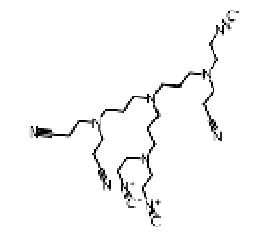 [C-]#[N+]CCN(CCC#N)CCCN(CCCN(CCC#N)CCC#N)CCCN(CC[N+]#[C-])CC[N+]#[C-]